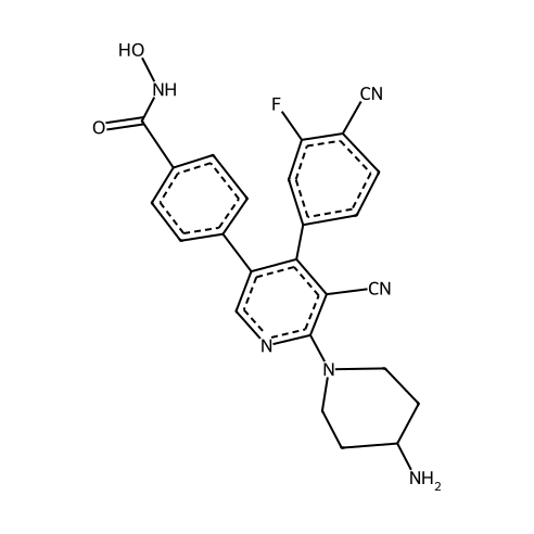 N#Cc1ccc(-c2c(-c3ccc(C(=O)NO)cc3)cnc(N3CCC(N)CC3)c2C#N)cc1F